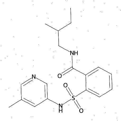 CCC(C)CNC(=O)c1ccccc1S(=O)(=O)Nc1cncc(C)c1